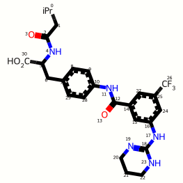 CC(C)CC(=O)NC(Cc1ccc(NC(=O)c2cc(NC3=NCCCN3)cc(C(F)(F)F)c2)cc1)C(=O)O